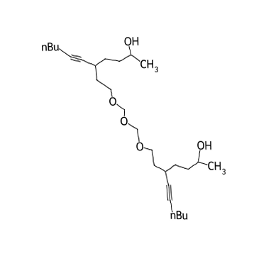 CCCCC#CC(CCOCOCOCCC(C#CCCCC)CCC(C)O)CCC(C)O